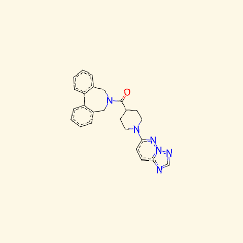 O=C(C1CCN(c2ccc3ncnn3n2)CC1)N1Cc2ccccc2-c2ccccc2C1